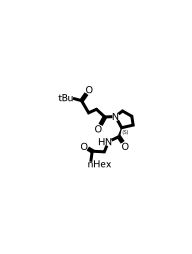 CCCCCCC(=O)CNC(=O)[C@@H]1CCCN1C(=O)CCC(=O)C(C)(C)C